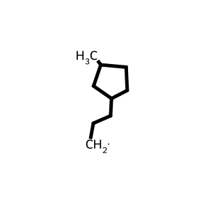 [CH2]CCC1CCC(C)C1